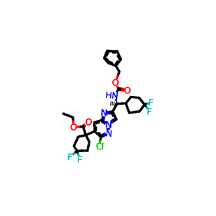 CCOC(=O)C1(c2cc3nc([C@@H](NC(=O)OCc4ccccc4)C4CCC(F)(F)CC4)cn3nc2Cl)CCC(F)(F)CC1